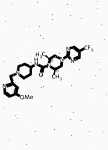 COc1ccnc(CN2CCC(NC(=O)N3[C@H](C)CN(c4ncc(C(F)(F)F)cn4)C[C@@H]3C)CC2)c1